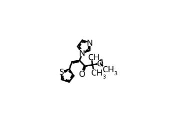 COC(C)(C)C(=O)/C(=C\c1cccs1)n1ccnc1